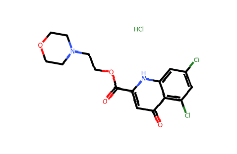 Cl.O=C(OCCN1CCOCC1)c1cc(=O)c2c(Cl)cc(Cl)cc2[nH]1